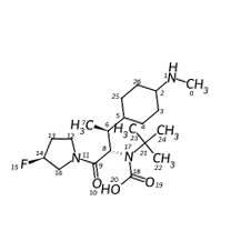 CNC1CCC([C@H](C)[C@@H](C(=O)N2CC[C@H](F)C2)N(C(=O)O)C(C)(C)C)CC1